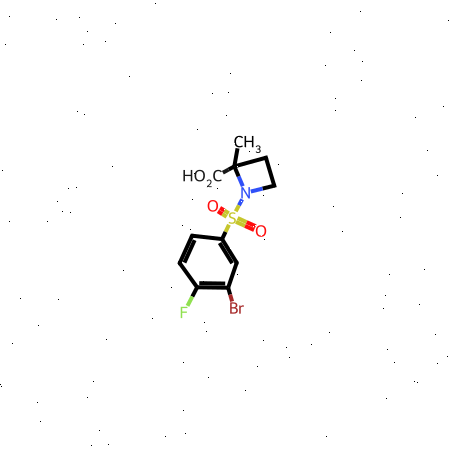 CC1(C(=O)O)CCN1S(=O)(=O)c1ccc(F)c(Br)c1